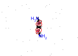 NCCP1(=O)OCC2(CO1)COP(=O)(CCN)OC2